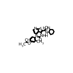 Cc1cc(OC(C)C)ccc1N1C(=O)Nc2c(C(=O)N[C@@H]3CCCC[C@@H]3N)sc3nccc1c23